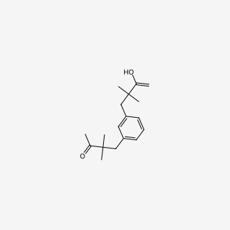 C=C(O)C(C)(C)Cc1cccc(CC(C)(C)C(C)=O)c1